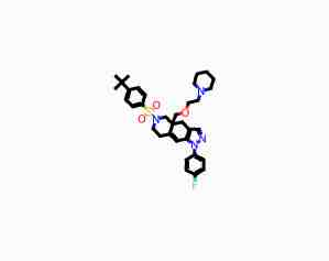 CC(C)(C)c1ccc(S(=O)(=O)N2CCC3=Cc4c(cnn4-c4ccc(F)cc4)CC3(COCCN3CCCCC3)C2)cc1